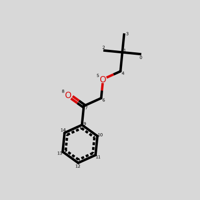 CC(C)(C)COCC(=O)c1ccccc1